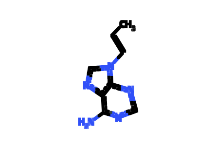 CC=Cn1cnc2c(N)ncnc21